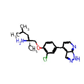 CC(C)C[C@](C)(N)COc1ccc(-c2ccnc3[nH]ncc23)cc1Cl